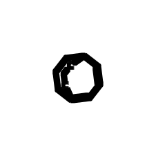 C1=C2CCCC(/C=C\1)CCC2